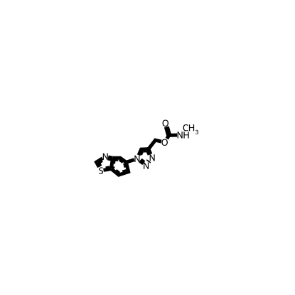 CNC(=O)OCc1cn(-c2ccc3scnc3c2)nn1